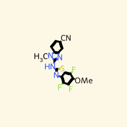 COc1c(F)c(F)c2nc(Nc3nc4cc(C#N)ccc4n3C)sc2c1F